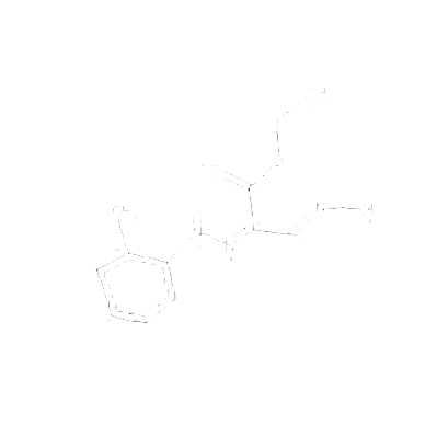 CCOC(=O)C(C=NO)=NNc1ccccc1C